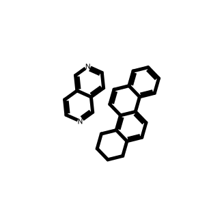 c1cc2cnccc2cn1.c1ccc2c(c1)ccc1c3c(ccc12)CCCC3